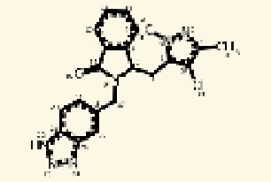 Cc1nn(C)c(CC2c3ccccc3C(=O)N2Cc2ccc3[nH]nnc3c2)c1Cl